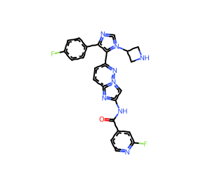 O=C(Nc1cn2nc(-c3c(-c4ccc(F)cc4)ncn3C3CNC3)ccc2n1)c1ccnc(F)c1